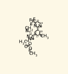 C=NCc1nn(C(C)OC(=O)OCC)nc1-c1cc(C)cc(-c2nccc(C(F)(F)F)n2)c1